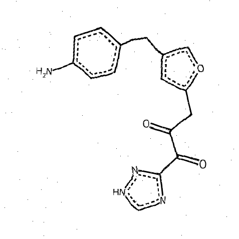 Nc1ccc(Cc2coc(CC(=O)C(=O)c3nc[nH]n3)c2)cc1